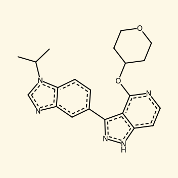 CC(C)n1cnc2cc(-c3n[nH]c4ccnc(OC5CCOCC5)c34)ccc21